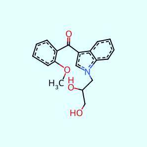 COc1ccccc1C(=O)c1cn(CC(O)CO)c2ccccc12